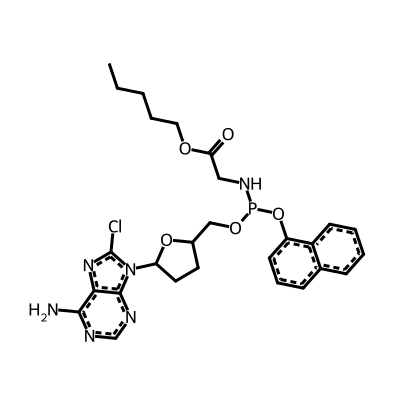 CCCCCOC(=O)CNP(OCC1CCC(n2c(Cl)nc3c(N)ncnc32)O1)Oc1cccc2ccccc12